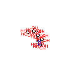 CC(=O)N[C@H]1[C@H](O[C@H]2[C@@H](O)[C@@H](CO)O[C@@H](O[C@H]3[C@H](O[C@H]4O[C@@H](C)[C@@H](O)[C@@H](O)[C@@H]4O)[C@@H](O)C(O)O[C@@H]3CO)[C@@H]2O)O[C@H](CO)[C@@H](O)[C@@H]1O[C@@H]1O[C@H](CO)[C@H](O)[C@H](O)[C@H]1O